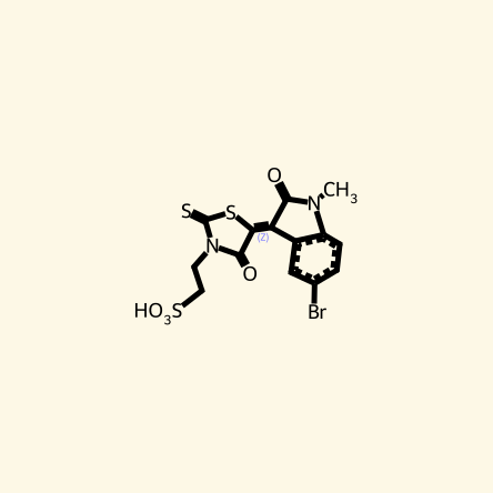 CN1C(=O)/C(=C2\SC(=S)N(CCS(=O)(=O)O)C2=O)c2cc(Br)ccc21